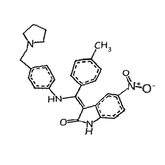 Cc1ccc(/C(Nc2ccc(CN3CCCC3)cc2)=C2/C(=O)Nc3ccc([N+](=O)[O-])cc32)cc1